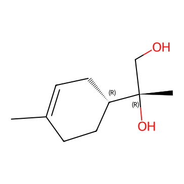 CC1=CC[C@H]([C@@](C)(O)CO)CC1